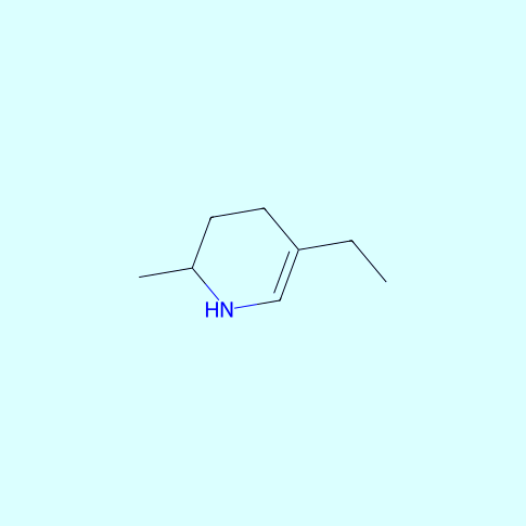 CCC1=CNC(C)CC1